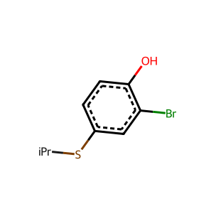 CC(C)Sc1ccc(O)c(Br)c1